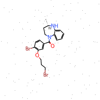 C[C@H]1CCN(C(=O)c2ccc(Br)c(OCCCBr)c2)c2ccccc2N1